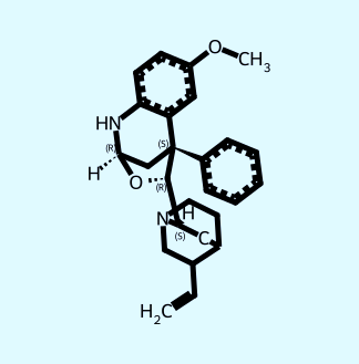 C=CC1CN2CCC1C[C@H]2[C@@H]1O[C@@H]2C[C@]1(c1ccccc1)c1cc(OC)ccc1N2